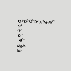 [Al+3].[Al+3].[Mn+2].[Mn+2].[Ni+2].[Ni+2].[O-2].[O-2].[O-2].[O-2].[O-2].[O-2].[O-2]